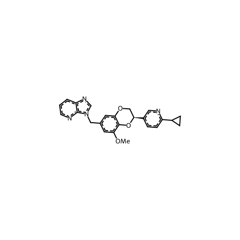 COc1cc(Cn2cnc3cccnc32)cc2c1O[C@H](c1ccc(C3CC3)nc1)CO2